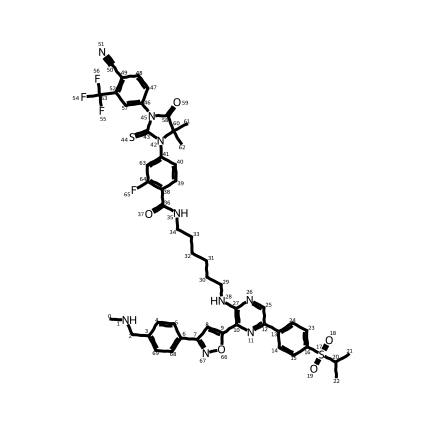 CNCc1ccc(-c2cc(-c3nc(-c4ccc(S(=O)(=O)C(C)C)cc4)cnc3NCCCCCCNC(=O)c3ccc(N4C(=S)N(c5ccc(C#N)c(C(F)(F)F)c5)C(=O)C4(C)C)cc3F)on2)cc1